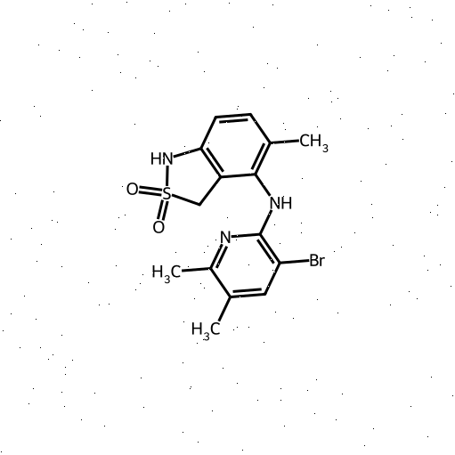 Cc1cc(Br)c(Nc2c(C)ccc3c2CS(=O)(=O)N3)nc1C